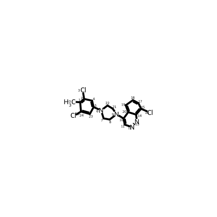 Cc1c(Cl)cc(N2CCN(c3cnnc4c(Cl)cccc34)CC2)cc1Cl